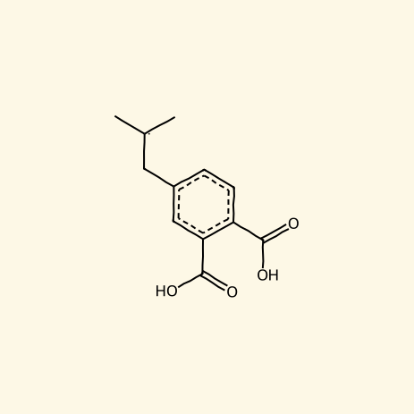 C[C](C)Cc1ccc(C(=O)O)c(C(=O)O)c1